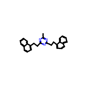 Cc1nc(CCc2cccc3ccccc23)nc(CCc2cccc3ccccc23)n1